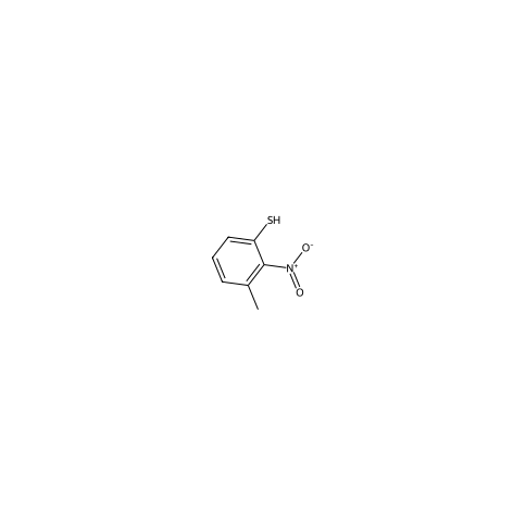 Cc1cccc(S)c1[N+](=O)[O-]